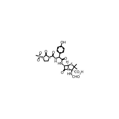 CC1(C)S[C@@H]2[C@H](NC(=O)C(NC(=O)N3CCN(S(C)(=O)=O)C3=O)c3ccc(O)cc3)C(=O)N2[C@@]1(NC=O)C(=O)O